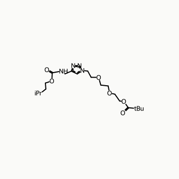 CC(C)CCOC(=O)NCc1cn(CCOCCOCCOC(=O)C(C)(C)C)nn1